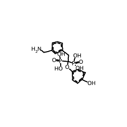 NCc1cccc(CC(Oc2ccc(O)cc2)(P(=O)(O)O)P(=O)(O)O)c1